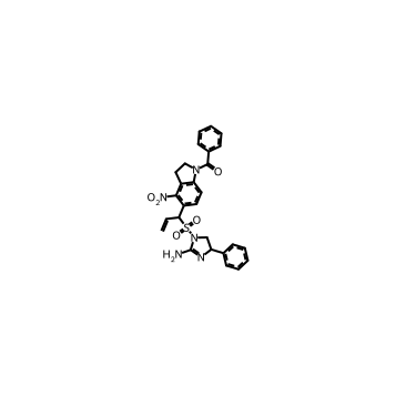 C=CC(c1ccc2c(c1[N+](=O)[O-])CCN2C(=O)c1ccccc1)S(=O)(=O)N1CC(c2ccccc2)N=C1N